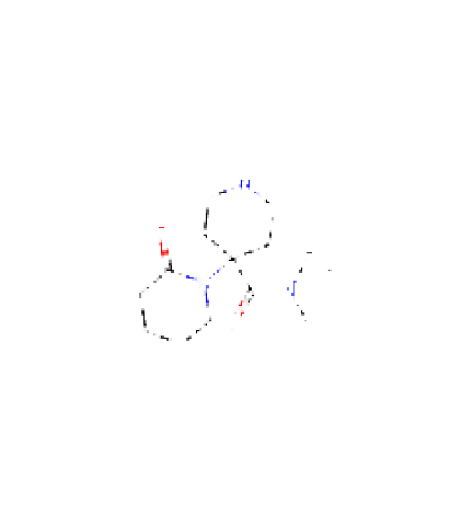 CN(C)C(=O)C1(N2CCCCC2=O)CC[N]CC1